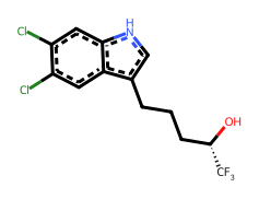 O[C@@H](CCCc1c[nH]c2cc(Cl)c(Cl)cc12)C(F)(F)F